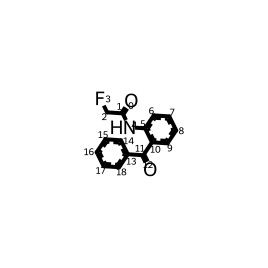 O=C(CF)Nc1ccccc1C(=O)c1ccccc1